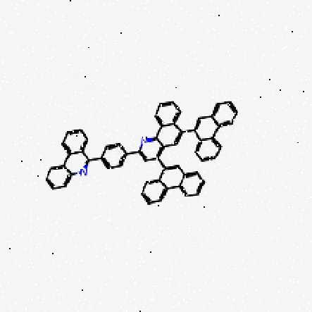 c1ccc2c(c1)cc(-c1cc3c(-c4cc5ccccc5c5ccccc45)cc(-c4ccc(-c5nc6ccccc6c6ccccc56)cc4)nc3c3ccccc13)c1ccccc12